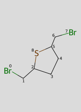 BrCC1CCC(CBr)S1